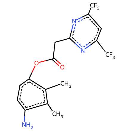 Cc1c(N)ccc(OC(=O)Cc2nc(C(F)(F)F)cc(C(F)(F)F)n2)c1C